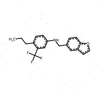 CCCc1ccc(NCc2ccc3occc3c2)cc1C(F)(F)F